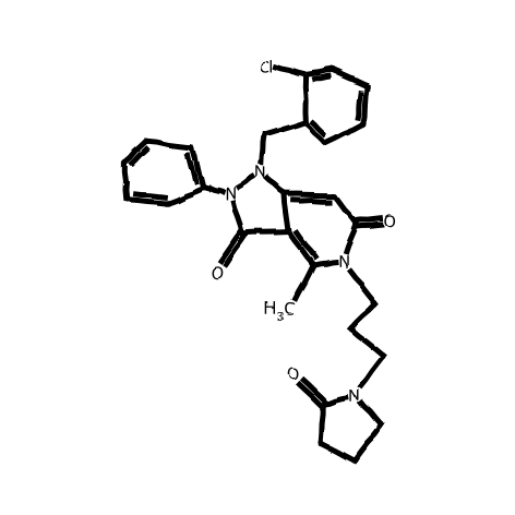 Cc1c2c(=O)n(-c3ccccc3)n(Cc3ccccc3Cl)c2cc(=O)n1CCCN1CCCC1=O